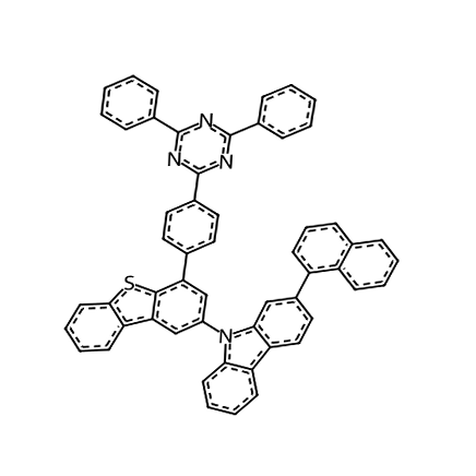 c1ccc(-c2nc(-c3ccccc3)nc(-c3ccc(-c4cc(-n5c6ccccc6c6ccc(-c7cccc8ccccc78)cc65)cc5c4sc4ccccc45)cc3)n2)cc1